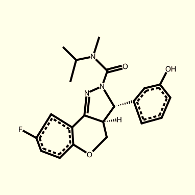 CC(C)N(C)C(=O)N1N=C2c3cc(F)ccc3OC[C@@H]2[C@H]1c1cccc(O)c1